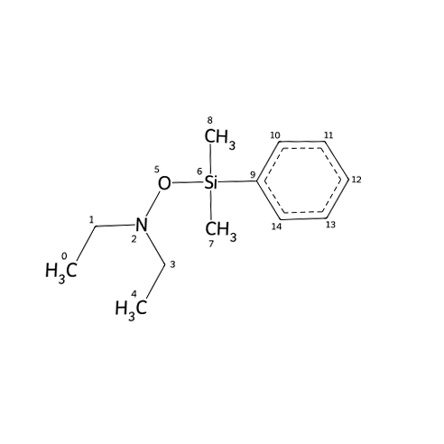 CCN(CC)O[Si](C)(C)c1ccccc1